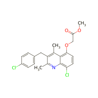 COC(=O)COc1ccc(Cl)c2nc(C)c(Cc3ccc(Cl)cc3)c(C)c12